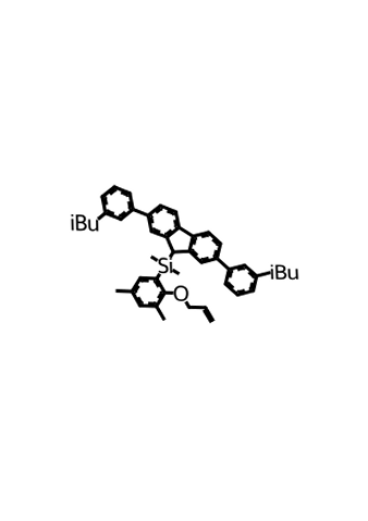 C=CCOc1c(C)cc(C)cc1[Si](C)(C)C1c2cc(-c3cccc(C(C)CC)c3)ccc2-c2ccc(-c3cccc(C(C)CC)c3)cc21